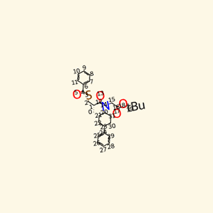 C[C@H](CSC(=O)c1ccccc1)C(=O)N(CC(=O)OC(C)(C)C)[C@H]1CC[C@H](c2ccccc2)CC1